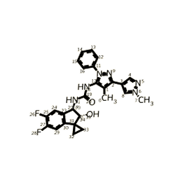 Cc1c(-c2cnn(C)c2)nn(-c2ccccc2)c1NC(=O)N[C@@H]1c2cc(F)c(F)cc2C2(CC2)[C@H]1O